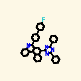 Fc1ccc(-c2ccc(-c3nc4ccccc4c4c3cc(-c3nc(-c5ccccc5)nc(-c5ccccc5)n3)c3ccccc34)cc2)cc1